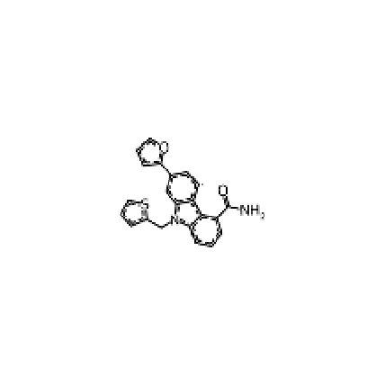 NC(=O)c1cccc2c1c1[c]cc(-c3ccco3)cc1n2Cc1cccs1